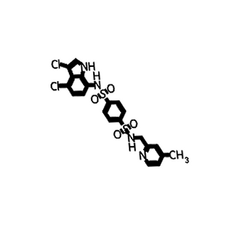 Cc1ccnc(CNS(=O)(=O)c2ccc(S(=O)(=O)Nc3ccc(Cl)c4c(Cl)c[nH]c34)cc2)c1